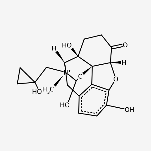 C[N@+]1(CC2(O)CC2)C(O)C[C@]23c4c5ccc(O)c4O[C@H]2C(=O)CC[C@@]3(O)[C@H]1C5